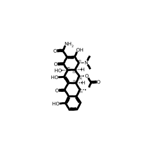 CC(=O)O[C@@H]1[C@@H]2C(=C(O)[C@@]3(O)C(=O)C(C(N)=O)=C(O)[C@H](N(C)C)[C@@H]13)C(=O)c1c(O)cccc1[C@H]2C